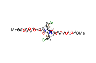 COCCOCCOCCOCCOCCN1C(=O)C2=C(c3ccc(Br)s3)N(CCOCCOCCOCCOCCOC)C(=O)C2=C1c1ccc(Br)s1